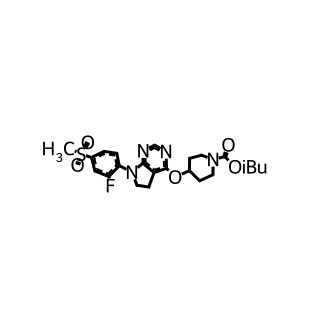 CC(C)COC(=O)N1CCC(Oc2ncnc3c2CCN3c2ccc(S(C)(=O)=O)cc2F)CC1